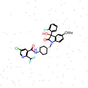 COc1ccc2c(c1)C(O)(c1ccccc1F)C(=O)N2C[C@H]1CC[C@H](NC(=O)c2cc(Cl)cnc2C(F)F)CC1